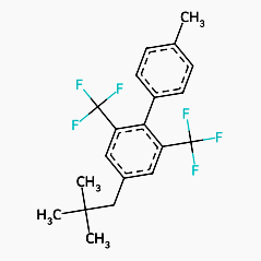 Cc1ccc(-c2c(C(F)(F)F)cc(CC(C)(C)C)cc2C(F)(F)F)cc1